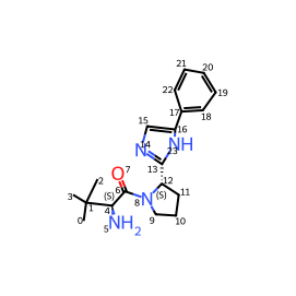 CC(C)(C)[C@H](N)C(=O)N1CCC[C@H]1c1ncc(-c2ccccc2)[nH]1